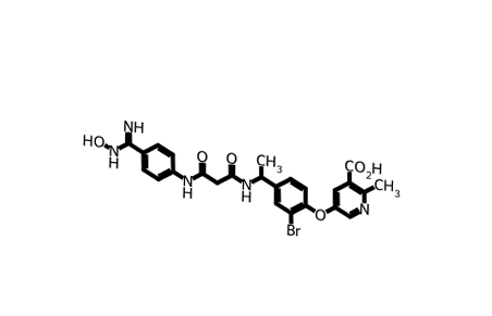 Cc1ncc(Oc2ccc(C(C)NC(=O)CC(=O)Nc3ccc(C(=N)NO)cc3)cc2Br)cc1C(=O)O